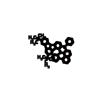 CC(C)(C)c1ccc2c(c1)-c1cc(C(C)(C)C)cc3c1C2c1ccc2c(c1-3)B(c1ccccc1-c1ccccc1)c1ccccc1N2c1ccccc1